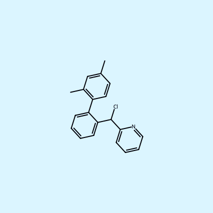 Cc1ccc(-c2ccccc2C(Cl)c2ccccn2)c(C)c1